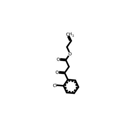 C=CCOC(=O)CC(=O)c1ccccc1Cl